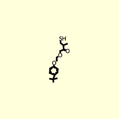 CC(CS)C(=O)COCCOc1ccc(C(C)(C)C)cc1